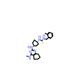 Cc1ccccc1CNC(=S)N[C@H]1CC[C@@H](Nc2nc3c(c(N(C)C)n2)CCCC3)CC1